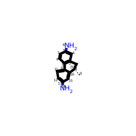 C[C@H]1Cc2cc(N)ccc2-c2ccc(N)cc21